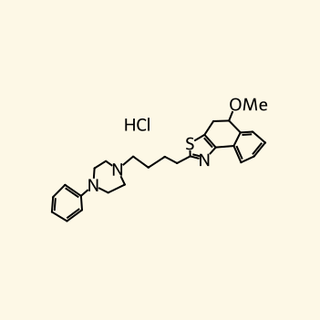 COC1Cc2sc(CCCCN3CCN(c4ccccc4)CC3)nc2-c2ccccc21.Cl